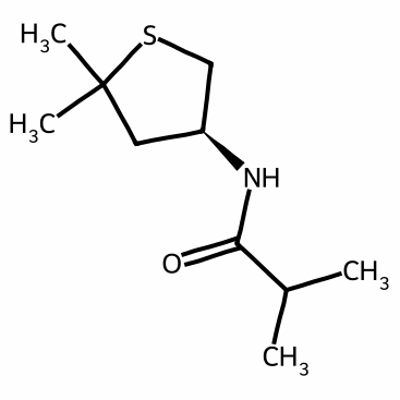 CC(C)C(=O)N[C@@H]1CSC(C)(C)C1